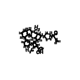 Cc1cc(C2CCN(C(=O)C3CC3)CC2)ccc1CN1CCc2cccc(-c3cccc(-n4ncc(C(=O)O)c4C)n3)c21